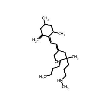 C=C1CC(C)CC(C)/C1=C\C=C(/CC)CC(C)(CCCCC)CCCNC